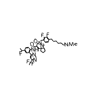 CNCCCCCCc1ccc(CN2C(=O)C(C(=O)Nc3ccc(C(C)F)cc3-c3cc(C(C)(F)F)ncn3)=C(C)C3(CCCC3)N2C)c(F)c1F